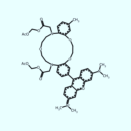 CC(=O)OCOC(=O)CN1CCOCCN(CC(=O)OCOC(C)=O)c2ccc(-c3c4ccc(=[N+](C)C)cc-4oc4cc(N(C)C)ccc34)cc2OCCOc2cc(C)ccc21